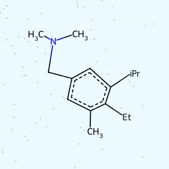 CCc1c(C)cc(CN(C)C)cc1C(C)C